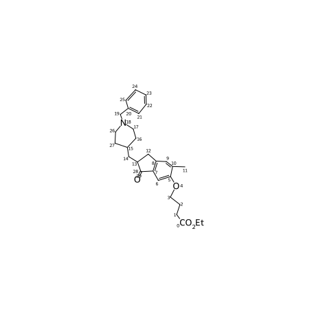 CCOC(=O)CCCOc1cc2c(cc1C)CC(CC1CCN(Cc3ccccc3)CC1)C2=O